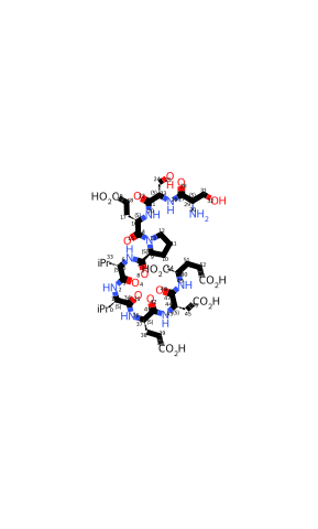 CC(C)[C@H](NC(=O)[C@@H](NC(=O)[C@@H]1CCCN1C(=O)[C@H](CCC(=O)O)NC(=O)[C@H](CO)NC(=O)[C@@H](N)CO)C(C)C)C(=O)N[C@@H](CCC(=O)O)C(=O)N[C@@H](CC(=O)O)C(=O)N[C@@H](CCC(=O)O)C(=O)O